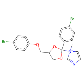 C[N+]1(C2(c3ccc(Br)cc3)OCC(COc3ccc(Br)cc3)O2)C=CN=C1